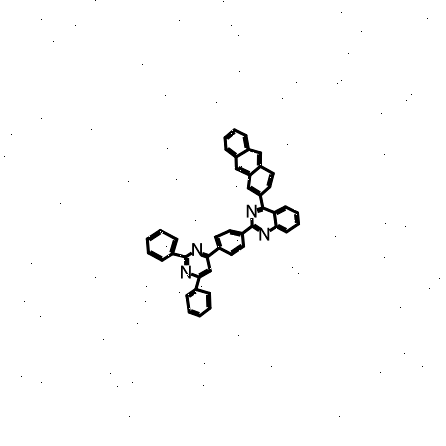 c1ccc(-c2cc(-c3ccc(-c4nc(-c5ccc6cc7ccccc7cc6c5)c5ccccc5n4)cc3)nc(-c3ccccc3)n2)cc1